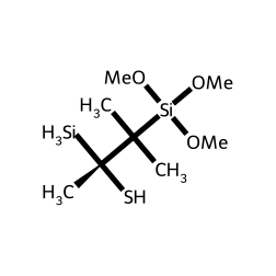 CO[Si](OC)(OC)C(C)(C)[C@@](C)([SiH3])S